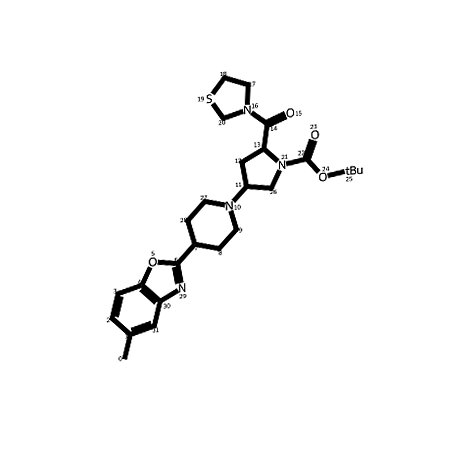 Cc1ccc2oc(C3CCN(C4CC(C(=O)N5CCSC5)N(C(=O)OC(C)(C)C)C4)CC3)nc2c1